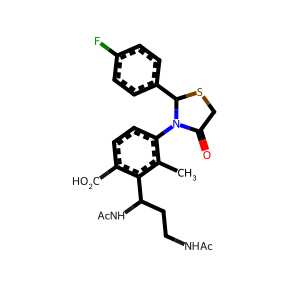 CC(=O)NCCC(NC(C)=O)c1c(C(=O)O)ccc(N2C(=O)CSC2c2ccc(F)cc2)c1C